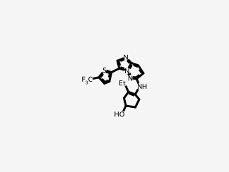 CCC1=C(Nc2ccc3ncc(-c4ccc(C(F)(F)F)s4)n3n2)CCC(O)C1